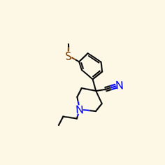 CCCN1CCC(C#N)(c2cccc(SC)c2)CC1